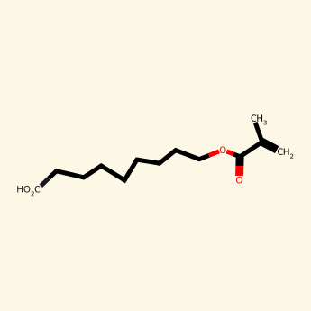 C=C(C)C(=O)OCCCCCCCCC(=O)O